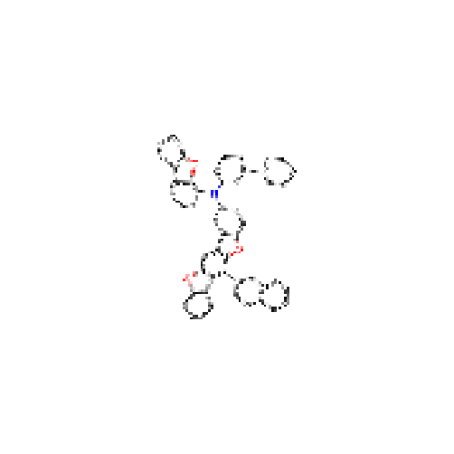 c1ccc(-c2cccc(N(c3ccc4oc5c(-c6ccc7ccccc7c6)c6c(cc5c4c3)oc3ccccc36)c3cccc4c3oc3ccccc34)c2)cc1